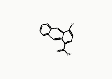 O=C(O)c1ccc(Cl)c2cc3ccccc3cc12